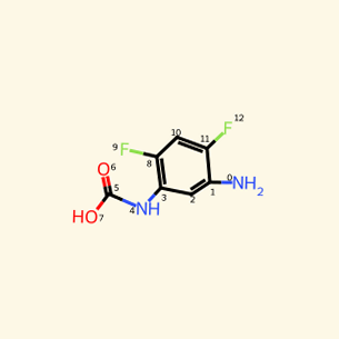 Nc1cc(NC(=O)O)c(F)cc1F